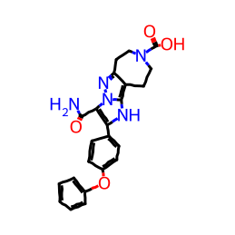 NC(=O)c1c(-c2ccc(Oc3ccccc3)cc2)[nH]c2c3c(nn12)CCN(C(=O)O)CC3